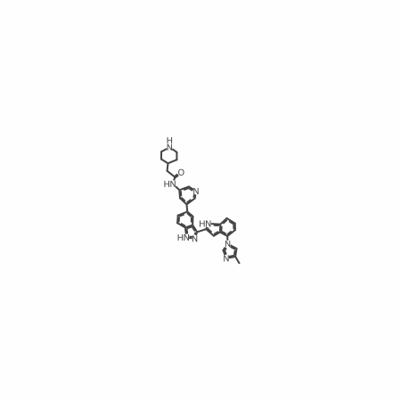 Cc1cn(-c2cccc3[nH]c(-c4n[nH]c5ccc(-c6cncc(NC(=O)CC7CCNCC7)c6)cc45)cc23)cn1